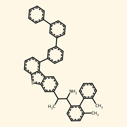 Cc1ccccc1-c1c(C)cccc1C(N)C(C)c1ccc2c(c1)sc1cccc(-c3cccc(-c4cccc(-c5ccccc5)c4)c3)c12